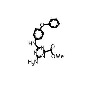 COC(=O)c1nc(N)nc(Nc2ccc(Oc3ccccc3)cc2)n1